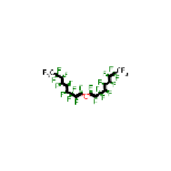 FC(OC(F)=C(F)C(F)(F)C(F)=C(F)C(F)=C(F)C(F)(F)C(F)(F)F)=C(F)C(F)(F)C(F)=C(F)C(F)=C(F)C(F)(F)C(F)(F)F